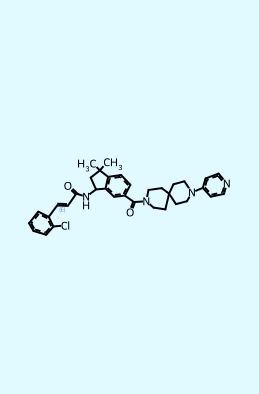 CC1(C)CC(NC(=O)/C=C/c2ccccc2Cl)c2cc(C(=O)N3CCC4(CC3)CCN(c3ccncc3)CC4)ccc21